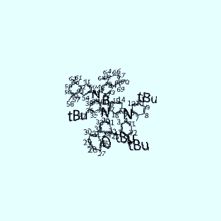 CC(C)(C)c1ccc(N(c2cccc(C(C)(C)C)c2)c2ccc3c(c2)N(c2cc(C(C)(C)C)c4oc5ccccc5c4c2)c2cc(C(C)(C)C)cc4c2B3c2cc3c(cc2N4c2ccc4c(c2)C(C)(C)CCC4(C)C)C(C)(C)CCC3(C)C)cc1